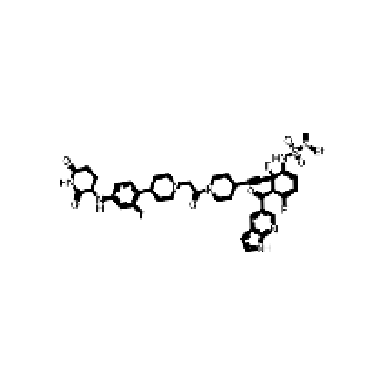 CCN(C)S(=O)(=O)NC1=CC=C(F)C(C(=O)c2cnc3[nH]ccc3c2)C1(F)C#CC1CCN(C(=O)CN2CCC(c3ccc(NC4CCC(=O)NC4=O)cc3F)CC2)CC1